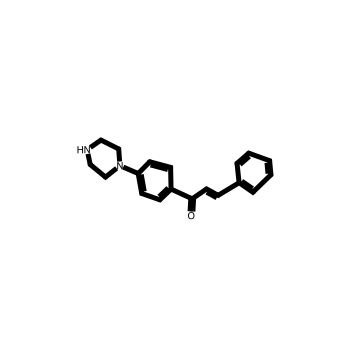 O=C(/C=C/c1ccccc1)c1ccc(N2CCNCC2)cc1